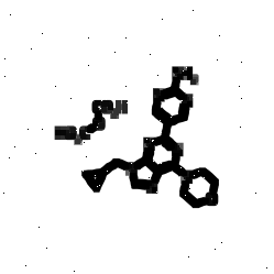 Nc1ncc(-c2nc(N3CCOCC3)c3ncn(CC4CC4)c3n2)cn1.O=C(O)OC(=O)O